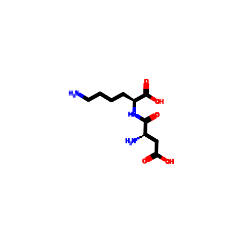 NCCCC[C@H](NC(=O)[C@@H](N)CC(=O)O)C(=O)O